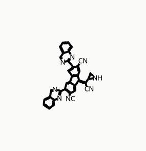 N#CC(=C1c2cc(C#N)c(-c3ncc4ccccc4n3)cc2-c2cc(-c3ncc4ccccc4n3)c(C#N)cc21)C1CN1